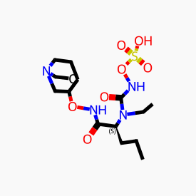 CCC[C@@H](C(=O)NOC1CN2CCC1CC2)N(CC)C(=O)NOS(=O)(=O)O